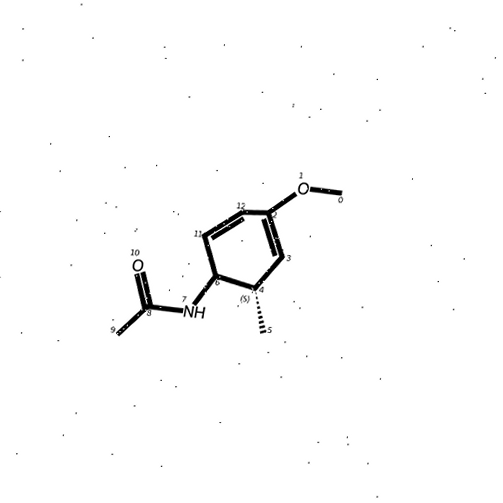 COC1=C[C@H](C)C(NC(C)=O)C=C1